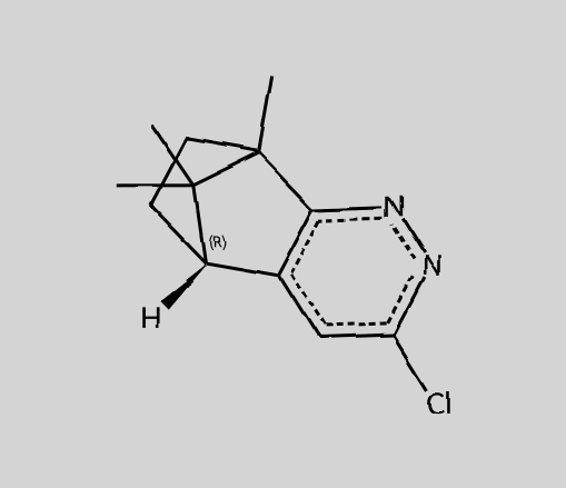 CC12CC[C@@H](c3cc(Cl)nnc31)C2(C)C